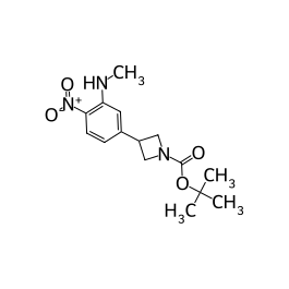 CNc1cc(C2CN(C(=O)OC(C)(C)C)C2)ccc1[N+](=O)[O-]